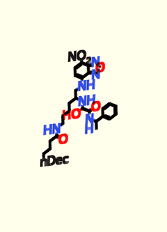 CCCCCCCCCCCCCC(=O)NCCCCC(CNc1ccc([N+](=O)[O-])c2nonc12)NC(O)C(=O)NC(C)c1ccccc1